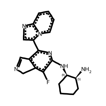 N[C@H]1CCCC[C@H]1Nc1nc(-c2cnc3ccccn23)c2c(c1F)CN=C2